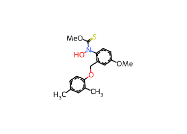 COC(=S)N(O)c1ccc(OC)cc1COc1ccc(C)cc1C